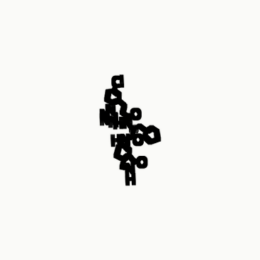 O=C(C=Cc1cc(Cl)ccc1-n1cnnn1)N[C@@H](Cc1ccccc1)C(=O)Nc1ccc2c(c1)C(=O)NC2